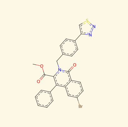 COC(=O)c1c(-c2ccccc2)c2cc(Br)ccc2c(=O)n1Cc1ccc(-c2csnn2)cc1